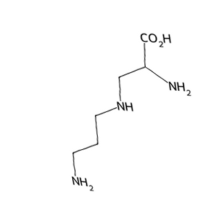 NCCCNCC(N)C(=O)O